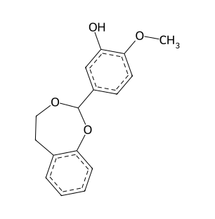 COc1ccc(C2OCCc3ccccc3O2)cc1O